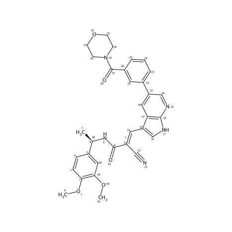 COc1ccc([C@@H](C)NC(=O)/C(C#N)=C/c2c[nH]c3ncc(-c4cccc(C(=O)N5CCOCC5)c4)cc23)cc1OC